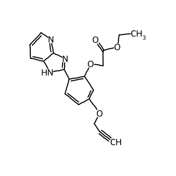 C#CCOc1ccc(-c2nc3ncccc3[nH]2)c(OCC(=O)OCC)c1